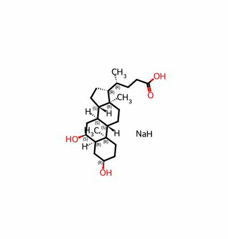 C[C@H](CCC(=O)O)[C@H]1CC[C@H]2[C@@H]3C[C@H](O)[C@@H]4C[C@H](O)CC[C@]4(C)[C@H]3CC[C@]12C.[NaH]